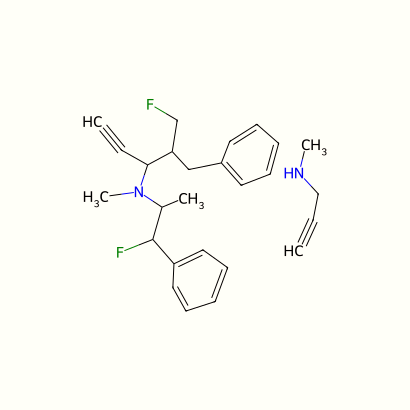 C#CC(C(CF)Cc1ccccc1)N(C)C(C)C(F)c1ccccc1.C#CCNC